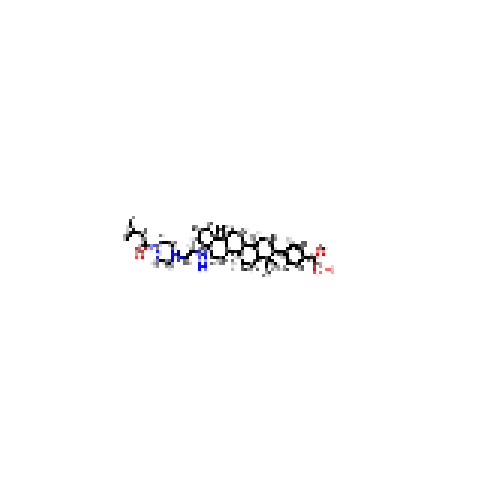 CC(C)CC(=O)N1CCN(CCN[C@]23CCCC2[C@H]2CCC4[C@@](C)(CCC5C(C)(C)C(c6ccc(C(=O)O)cc6)=CC[C@@]54C)C2CC3)CC1